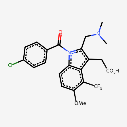 COc1ccc2c(c(CC(=O)O)c(CN(C)C)n2C(=O)c2ccc(Cl)cc2)c1C(F)(F)F